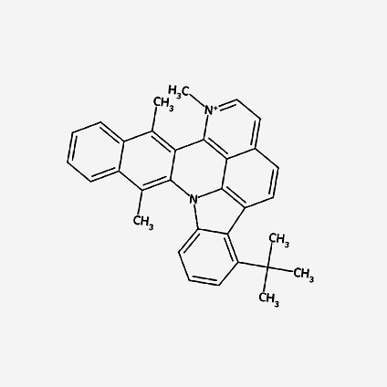 Cc1c2ccccc2c(C)c2c1c1c3c(ccc4c5c(C(C)(C)C)cccc5n2c43)cc[n+]1C